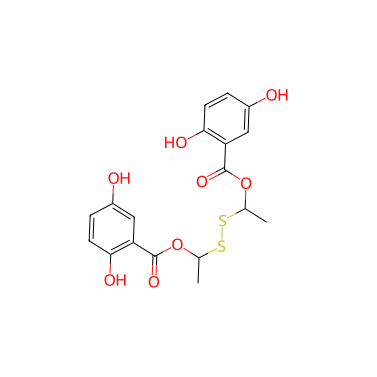 CC(OC(=O)c1cc(O)ccc1O)SSC(C)OC(=O)c1cc(O)ccc1O